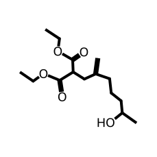 C=C(CCCC(C)O)CC(C(=O)OCC)C(=O)OCC